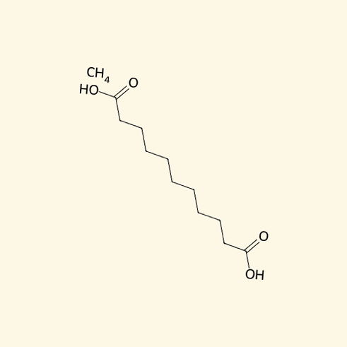 C.O=C(O)CCCCCCCCCC(=O)O